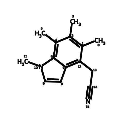 Cc1c(C)c(C)c2c(ccn2C)c1CC#N